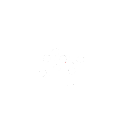 C1=CCC(c2ccc(N(c3ccccc3)c3ccc(-c4ccccc4C4(c5ccccc5)c5ccccc5C5(c6ccccc6)c6c(cccc64)C4=CC=CCC45)cc3)cc2)C=C1